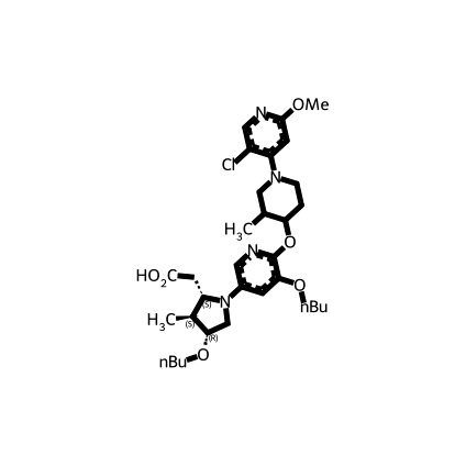 CCCCOc1cc(N2C[C@H](OCCCC)[C@@H](C)[C@@H]2CC(=O)O)cnc1OC1CCN(c2cc(OC)ncc2Cl)CC1C